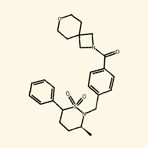 C[C@H]1CCC(c2ccccc2)S(=O)(=O)N1Cc1ccc(C(=O)N2CC3(CCOCC3)C2)cc1